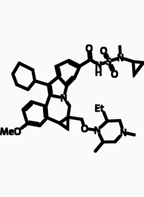 CCC1CN(C)CC(C)N1OCC12CC1c1cc(OC)ccc1-c1c(C3CCCCC3)c3ccc(C(=O)NS(=O)(=O)N(C)C4CC4)cc3n1C2